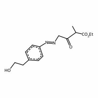 CCOC(=O)C(C)C(=O)CN=Nc1ccc(CCO)cc1